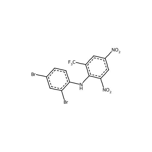 O=[N+]([O-])c1cc([N+](=O)[O-])c(Nc2ccc(Br)cc2Br)c(C(F)(F)F)c1